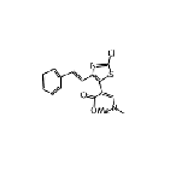 COC(=O)C(=CN(C)C)c1sc(Cl)nc1/C=C/c1ccccc1